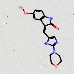 CC(C)Oc1ccc2c(c1)C(=Cc1cnc(N3CCOCC3)[nH]1)C(=O)N2